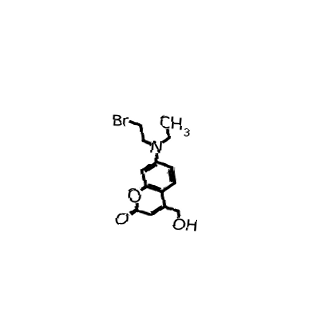 CCN(CCBr)c1ccc2c(CO)cc(=O)oc2c1